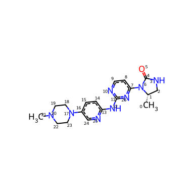 C[C@H]1CNC(=O)N1c1ccnc(Nc2ccc(N3CCN(C)CC3)cn2)n1